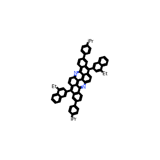 CCc1cc(-c2c3cc(-c4ccc(C(C)C)cc4)ccc3c3nc4ccc5c(-c6cc(CC)c7ccccc7c6)c6cc(-c7ccc(C(C)C)cc7)ccc6c6nc7ccc2c3c7c4c56)cc2ccccc12